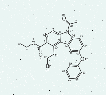 CCOC(=O)c1ncc2c(c1CCBr)c1cc(Oc3ccccc3)ccc1n2C(C)=O